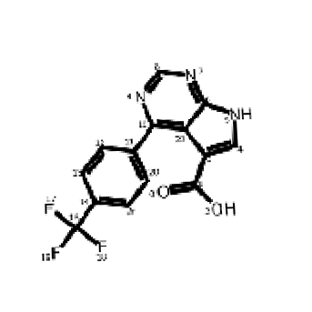 O=C(O)c1c[nH]c2ncnc(-c3ccc(C(F)(F)F)cc3)c12